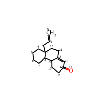 C=CCC12CCCCC1C1CCC(=O)C=C1CC2